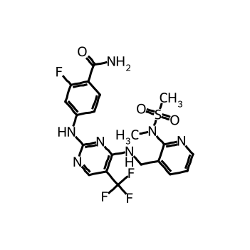 CN(c1ncccc1CNc1nc(Nc2ccc(C(N)=O)c(F)c2)ncc1C(F)(F)F)S(C)(=O)=O